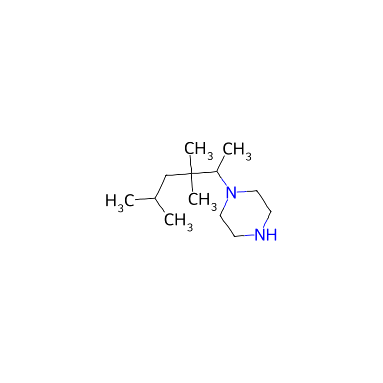 CC(C)CC(C)(C)C(C)N1CCNCC1